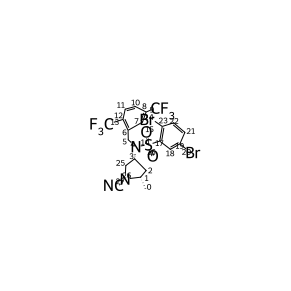 C[C@H]1C[C@@H](N(Cc2cc(C(F)(F)F)ccc2C(F)(F)F)S(=O)(=O)c2cc(Br)ccc2Br)CN1C#N